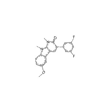 COc1ccc2c(c1)c1cc(-c3cc(F)cc(F)c3)c(=O)n(C)c1n2C